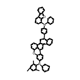 Cc1cc(C)c(N(c2ccccc2)c2ccc3c(c2)Oc2cccc4c2c-3cc2c3ccccc3c(-c3ccc(N(c5ccccc5)c5cccc6c5oc5ccccc56)cc3)cc42)c(C)c1